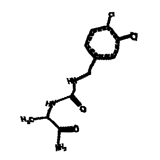 CC(NC(=O)NCc1ccc(Cl)c(Cl)c1)C(N)=O